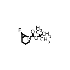 CC(C)(C)OC(=O)N1CCCC2C(F)C21